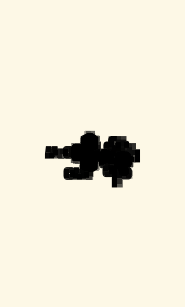 COc1ccc(C(OC[C@H]2[CH][C@@H](O[Si](C)(C)C(C)(C)C)[C@H](n3c(=O)[nH]c(=O)c4cc(Cl)ccc43)O2)(c2ccccc2)c2ccc(OC)cc2)cc1